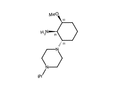 CO[C@H]1CCC[C@H](N2CCN(C(C)C)CC2)[C@H]1N